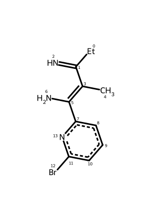 CCC(=N)/C(C)=C(\N)c1cccc(Br)n1